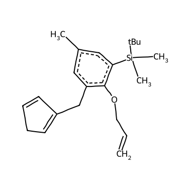 C=CCOc1c(CC2=CCC=C2)cc(C)cc1[Si](C)(C)C(C)(C)C